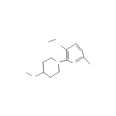 CC(=O)O.CCCCOC1CCN(c2nc(C(F)(F)F)ccc2NC)CC1